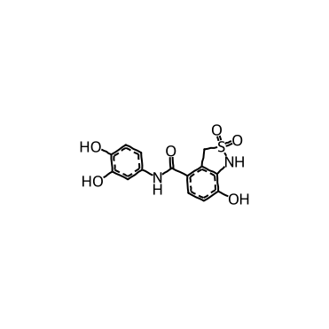 O=C(Nc1ccc(O)c(O)c1)c1ccc(O)c2c1CS(=O)(=O)N2